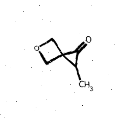 CC1C(=O)C12COC2